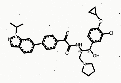 CC(C)n1ncc2ccc(-c3ccc(C(=O)C(=O)N[C@H](CN4CCCC4)[C@H](O)c4ccc(OC5CC5)c(Cl)c4)cc3)cc21